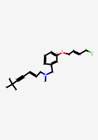 CN(CC=CC#CC(C)(C)C)Cc1cccc(OCC=CCCl)c1